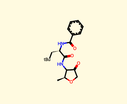 C[C@@H]1OCC(=O)C1NC(=O)[C@H](CC(C)(C)C)NC(=O)c1ccccc1